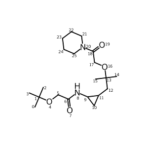 CC(C)(C)OCC(=O)NC1CC1CC(C)(C)OCC(=O)N1CCCCC1